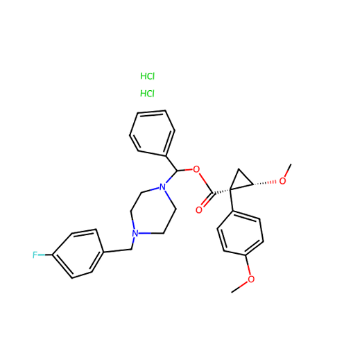 COc1ccc([C@@]2(C(=O)OC(c3ccccc3)N3CCN(Cc4ccc(F)cc4)CC3)C[C@@H]2OC)cc1.Cl.Cl